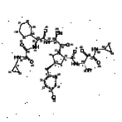 CCC[C@H](NC(=O)[C@@H]1C[C@@H](Cc2ccc(Cl)cn2)CN1C(=O)[C@@H](NC(=O)[C@@H](NC(=O)C(=O)NC1CC1)C1CCCCC1)C(C)(C)C)C(=O)C(=O)NC1CC1